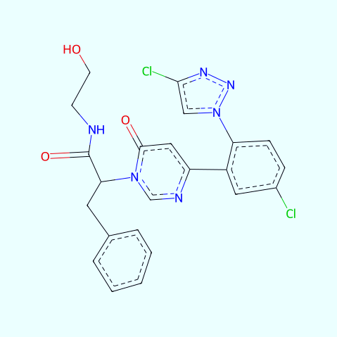 O=C(NCCO)C(Cc1ccccc1)n1cnc(-c2cc(Cl)ccc2-n2cc(Cl)nn2)cc1=O